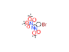 CC(C)(C)OC(=O)N(C(=O)OC(C)(C)C)c1nn(C(=O)OC(C)(C)C)c2cc(Br)ccc12